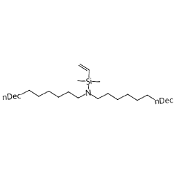 C=C[Si](C)(C)N(CCCCCCCCCCCCCCCC)CCCCCCCCCCCCCCCC